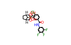 CC(O)C1(O)C[C@@H]2CC[C@@H](C1)C2S(=O)(=O)c1cc(C(=O)Nc2cc(F)c(F)c(F)c2)ccc1Cl